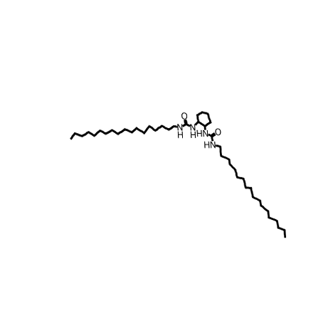 CCCCCCCCCCCCCCCCCCNC(=O)NC1CCCCC1NC(=O)NCCCCCCCCCCCCCCCCCC